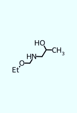 CCOCNCC(C)O